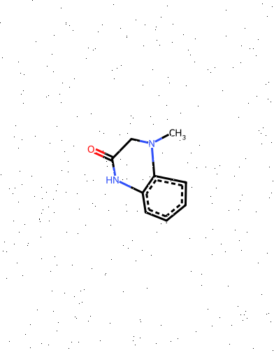 CN1CC(=O)Nc2c[c]ccc21